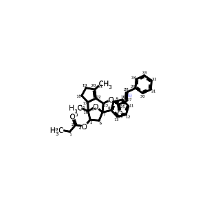 CCC(=O)OC1CC2(c3ccccc3)OC1(C)C1CCC(C)=C1C2OC(=O)/C=C/c1ccccc1